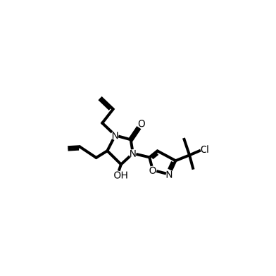 C=CCC1C(O)N(c2cc(C(C)(C)Cl)no2)C(=O)N1CC=C